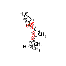 CCC(COS(=O)(=O)c1ccc(C)cc1)OCOCC[Si](C)(C)C